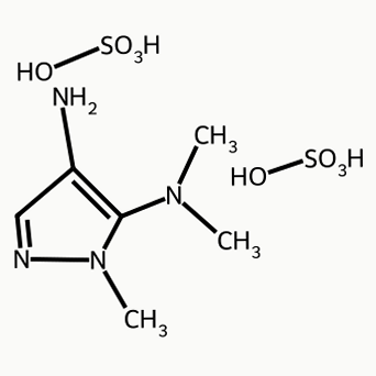 CN(C)c1c(N)cnn1C.O=S(=O)(O)O.O=S(=O)(O)O